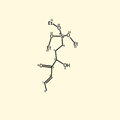 CC=CC(=O)C(O)CC[Si](OCC)(OCC)OCC